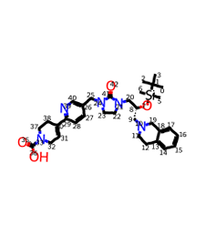 CC(C)(C)[Si](C)(C)O[C@H](CN1CCc2ccccc2C1)CN1CCN(Cc2ccc(C3=CCN(C(=O)O)CC3)nc2)C1=O